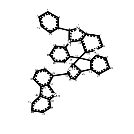 c1ccc(-c2nc3cccc4c3n2-c2ccccc2C42c3ccccc3-c3ccc(-c4cccc5c4sc4ccccc45)cc32)cc1